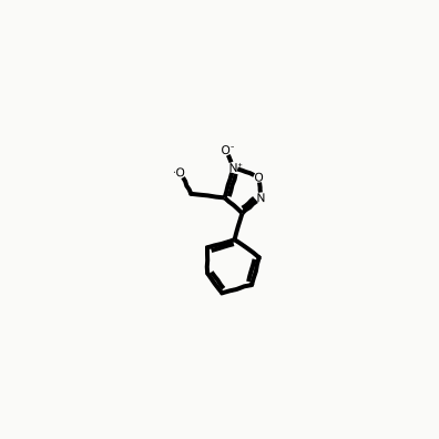 [O]Cc1c(-c2ccccc2)no[n+]1[O-]